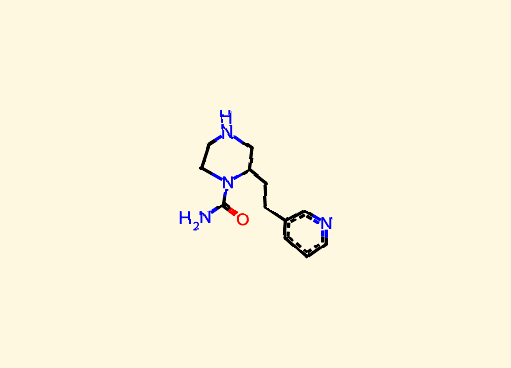 NC(=O)N1CCNCC1CCc1cccnc1